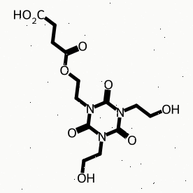 O=C(O)CCC(=O)OCCn1c(=O)n(CCO)c(=O)n(CCO)c1=O